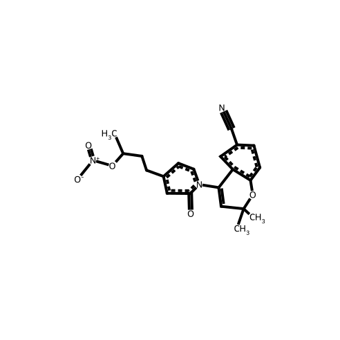 CC(CCc1ccn(C2=CC(C)(C)Oc3ccc(C#N)cc32)c(=O)c1)O[N+](=O)[O-]